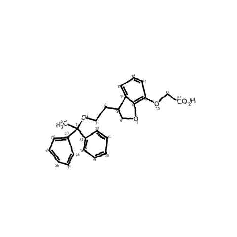 CC(OCCC1COc2c(OCC(=O)O)cccc21)(c1ccccc1)c1ccccc1